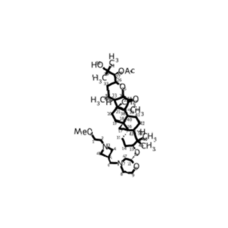 COCCN1CC(CN2CCO[C@@H](O[C@H]3CC[C@]45C[C@]46CC[C@]4(C)[C@@H]7C(OC([C@H](OC(C)=O)C(C)(C)O)C[C@H]7C)C(=O)[C@@]4(C)C6CC[C@H]5C3(C)C)C2)C1